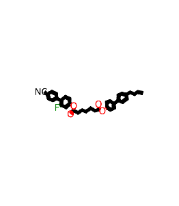 C=CCCc1ccc(-c2ccc(OC(=O)CCCCCC(=O)Oc3ccc(-c4ccc(C#N)cc4)c(F)c3)cc2)cc1